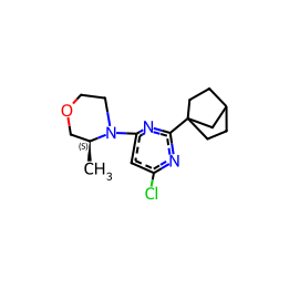 C[C@H]1COCCN1c1cc(Cl)nc(C23CCC(CC2)C3)n1